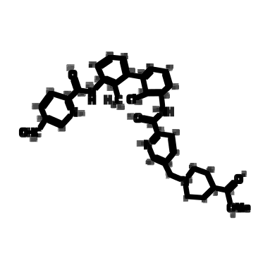 COC(=O)C1CCN(Cc2ccc(C(=O)Nc3cccc(-c4cccc(NC(=O)c5ccc(C=O)cn5)c4C)c3Cl)nc2)CC1